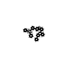 c1ccc(-c2ccc3c(c2)-c2ccccc2C(c2cccc4oc5cc(-c6cccc(-c7nc(-c8ccccc8)nc(-c8ccccc8)n7)c6)ccc5c24)C3)cc1